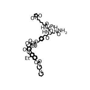 CCc1c2c(cc3ccc(OC(=O)N4CCC(N5CCCCC5)CC4)cc13)-c1cc3c(c(=O)n1C2)COC(=O)[C@]3(CC)OC(=O)OCc1ccc(CC(=O)[C@H](CCCNC(N)=O)NC(=O)[C@@H](NC(=O)CCCCCN2C(=O)C=CC2=O)C(C)C)cc1